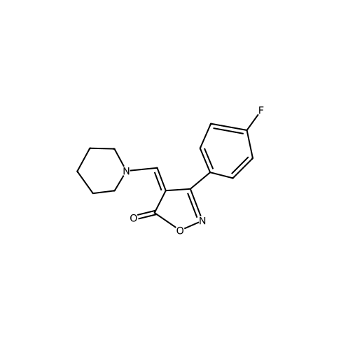 O=C1ON=C(c2ccc(F)cc2)C1=CN1CCCCC1